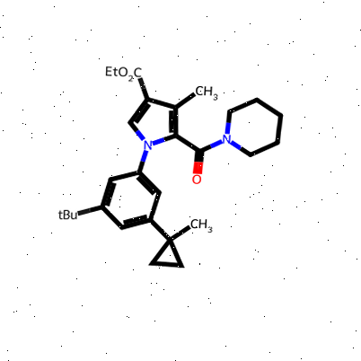 CCOC(=O)c1cn(-c2cc(C(C)(C)C)cc(C3(C)CC3)c2)c(C(=O)N2CCCCC2)c1C